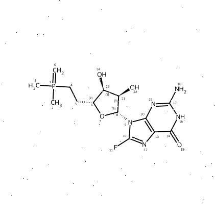 C=P(C)(C)CC[C@H]1O[C@@H](n2c(F)nc3c(=O)[nH]c(N)nc32)[C@H](O)[C@@H]1O